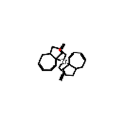 C=C[CH2][Zr]([CH2]C=C)([C]12C=CC=CCC1CCC2)[C]12C=CC=CCC1CCC2